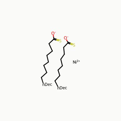 CCCCCCCCCCCCCCCCCC([O-])=S.CCCCCCCCCCCCCCCCCC([O-])=S.[Ni+2]